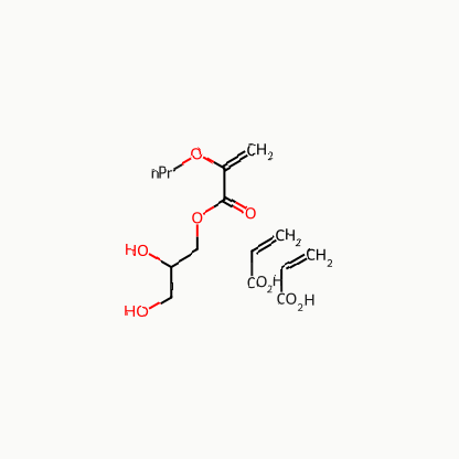 C=C(OCCC)C(=O)OCC(O)CO.C=CC(=O)O.C=CC(=O)O